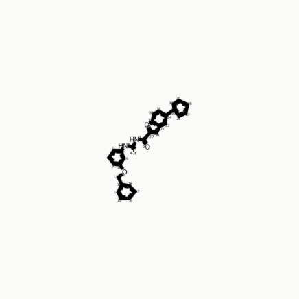 O=C(NC(=S)Nc1cccc(OCc2ccccc2)c1)c1cc2cc(-c3ccccc3)ccc2o1